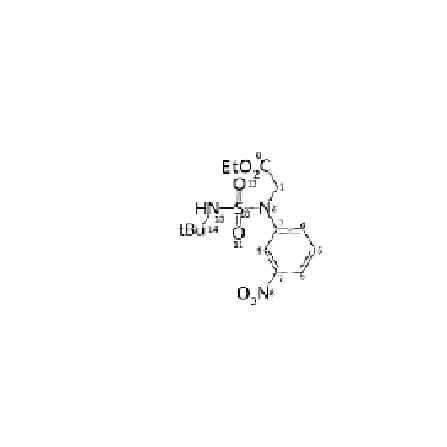 CCOC(=O)CN(c1cccc([N+](=O)[O-])c1)S(=O)(=O)NC(C)(C)C